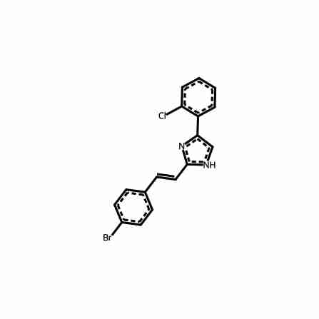 Clc1ccccc1-c1c[nH]c(C=Cc2ccc(Br)cc2)n1